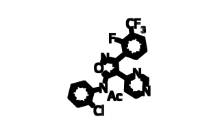 CC(=O)N(c1ccccc1Cl)c1onc(-c2cccc(C(F)(F)F)c2F)c1-c1ccncn1